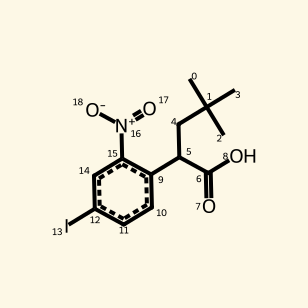 CC(C)(C)CC(C(=O)O)c1ccc(I)cc1[N+](=O)[O-]